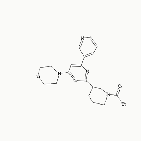 CCC(=O)N1CCCC(c2nc(-c3cccnc3)cc(N3CCOCC3)n2)C1